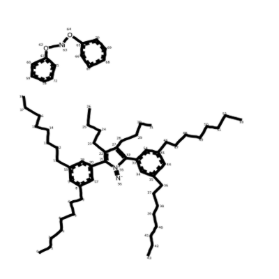 CCCCCCCCc1cc(CCCCCCCC)cc(C2=C(CCCC)C(CCCC)=C(c3cc(CCCCCCCC)cc(CCCCCCCC)c3)[N+]2=[N-])c1.c1ccc([O][Ni][O]c2ccccc2)cc1